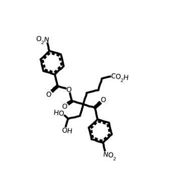 O=C(O)CCCC(CC(O)O)(C(=O)OC(=O)c1ccc([N+](=O)[O-])cc1)C(=O)c1ccc([N+](=O)[O-])cc1